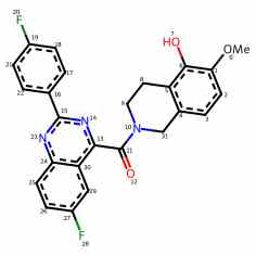 COc1ccc2c(c1O)CCN(C(=O)c1nc(-c3ccc(F)cc3)nc3ccc(F)cc13)C2